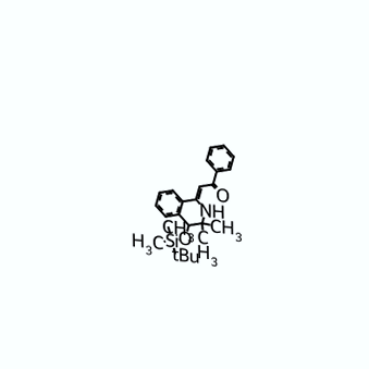 CC1(C)N/C(=C\C(=O)c2ccccc2)c2ccccc2C1O[Si](C)(C)C(C)(C)C